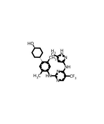 Cc1cc(Nc2nc(Nc3cc(C)c([C@H]4CC[C@H](O)CC4)cc3C)ncc2C(F)(F)F)n[nH]1